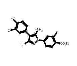 CCOC(=O)c1ccc(-n2nc(C(F)(F)F)c(-c3ccc(Cl)c(Cl)c3)c2N)cc1C